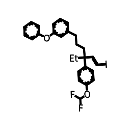 CCC(C=CI)(CCCc1cccc(Oc2ccccc2)c1)c1ccc(OC(F)F)cc1